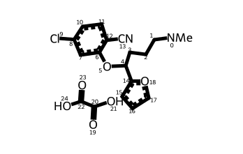 CNCCCC(Oc1cc(Cl)ccc1C#N)c1ccco1.O=C(O)C(=O)O